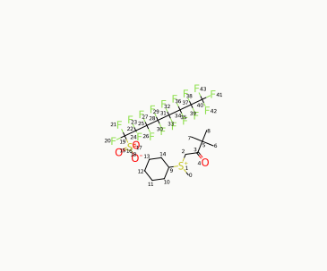 C[S+](CC(=O)C(C)(C)C)C1CCCCC1.O=S(=O)([O-])C(F)(F)C(F)(F)C(F)(F)C(F)(F)C(F)(F)C(F)(F)C(F)(F)C(F)(F)F